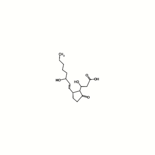 CCCCCC(O)/C=C/C1CCC(=O)C1C(O)CC(=O)O